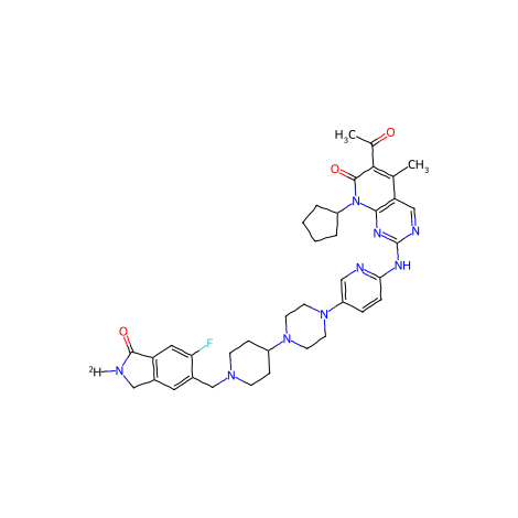 [2H]N1Cc2cc(CN3CCC(N4CCN(c5ccc(Nc6ncc7c(C)c(C(C)=O)c(=O)n(C8CCCC8)c7n6)nc5)CC4)CC3)c(F)cc2C1=O